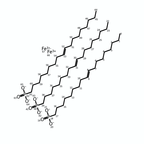 CCCCCCCCC=CCCCCCCCCP(=O)([O-])[O-].CCCCCCCCC=CCCCCCCCCP(=O)([O-])[O-].CCCCCCCCC=CCCCCCCCCP(=O)([O-])[O-].[Fe+3].[Fe+3]